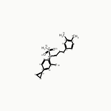 Cc1ccc(CCCN(c2ccc(C3CC3)cc2F)S(C)(=O)=O)cc1C